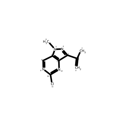 C=C(C)c1nn(C)c2cnc(Cl)nc12